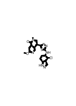 COc1cc2c(=O)n(C)cc(-c3nnc(Nc4ccc5[nH]ncc5c4Cl)s3)c2cn1